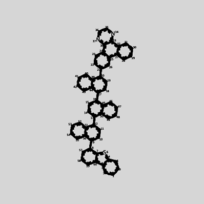 c1ccc2c(c1)sc1c(-c3ccc(-c4ccc(-c5ccc(-c6ccc7c(c6)c6ccccc6c6nccnc76)c6ccccc56)c5ccccc45)c4ccccc34)cccc12